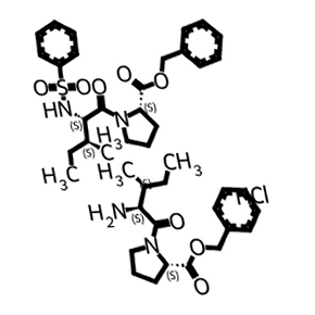 CC[C@H](C)[C@H](N)C(=O)N1CCC[C@H]1C(=O)OCc1ccccc1.CC[C@H](C)[C@H](NS(=O)(=O)c1ccccc1)C(=O)N1CCC[C@H]1C(=O)OCc1ccccc1.Cl